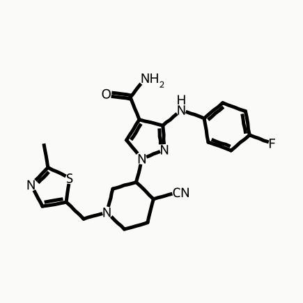 Cc1ncc(CN2CCC(C#N)C(n3cc(C(N)=O)c(Nc4ccc(F)cc4)n3)C2)s1